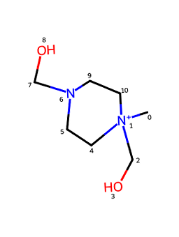 C[N+]1(CO)CCN(CO)CC1